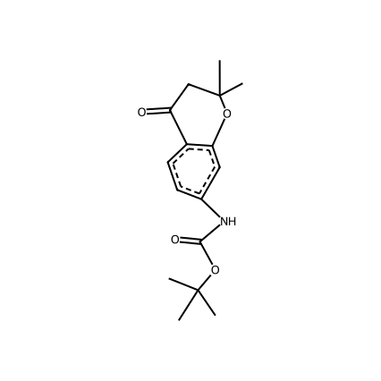 CC(C)(C)OC(=O)Nc1ccc2c(c1)OC(C)(C)CC2=O